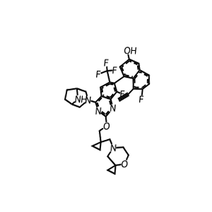 C#Cc1c(F)ccc2cc(O)cc(-c3c(C(F)(F)F)cc4c(N5CC6CCC(C5)N6)nc(OCC5(CN6CCOC7(CC7)C6)CC5)nc4c3F)c12